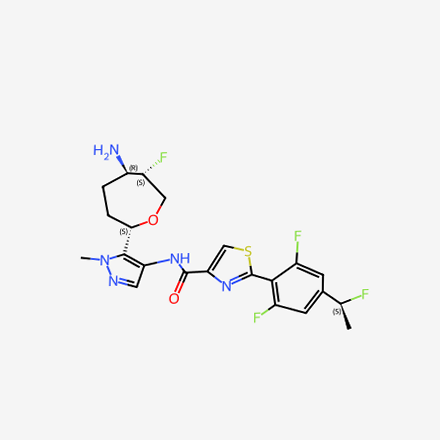 C[C@H](F)c1cc(F)c(-c2nc(C(=O)Nc3cnn(C)c3[C@@H]3CC[C@@H](N)[C@H](F)CO3)cs2)c(F)c1